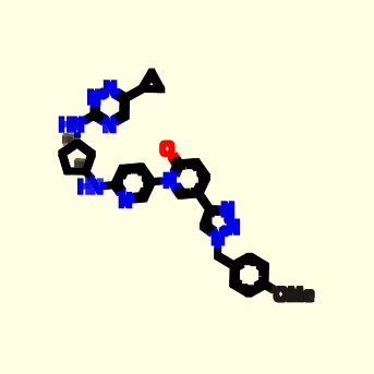 COc1ccc(Cn2cc(-c3ccc(=O)n(-c4ccc(N[C@H]5CC[C@H](Nc6ncc(C7CC7)nn6)C5)nc4)c3)nn2)cc1